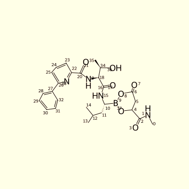 CNC(=O)C1CC(=O)OB([C@H](CC(C)C)NC(=O)[C@@H](NC(=O)c2cccc(-c3ccccc3)n2)[C@@H](C)O)O1